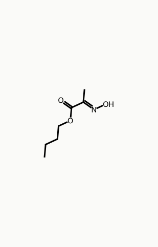 CCCCOC(=O)C(C)=NO